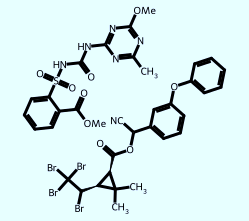 CC1(C)[C@H](C(=O)OC(C#N)c2cccc(Oc3ccccc3)c2)[C@@H]1C(Br)C(Br)(Br)Br.COC(=O)c1ccccc1S(=O)(=O)NC(=O)Nc1nc(C)nc(OC)n1